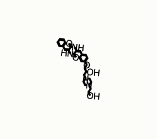 O=c1[nH]c(=Cc2ccc(OCC(O)CN3CCN(CCO)CC3)cc2)c(=O)[nH]c1=Cc1ccccc1